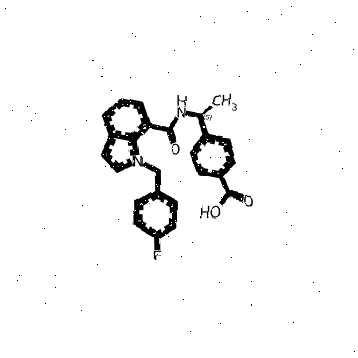 C[C@H](NC(=O)c1cccc2ccn(Cc3ccc(F)cc3)c12)c1ccc(C(=O)O)cc1